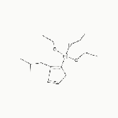 CC[O][Hf]([O]CC)([O]CC)[C]1=C(CC(C)C)C=CC1